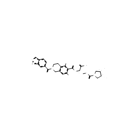 O=C(N[C@@H](CNC(=O)N1C[C@@H](O)[C@H](O)C1)C(=O)O)c1c(Cl)cc2c(c1Cl)CCN(C(=O)c1ccc3cn[nH]c3c1)C2